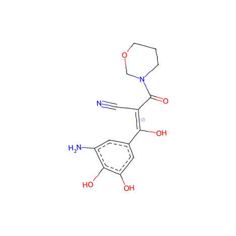 N#C/C(C(=O)N1CCCOC1)=C(/O)c1cc(N)c(O)c(O)c1